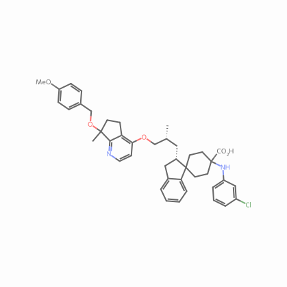 COc1ccc(COC2(C)CCc3c(OC[C@H](C)C[C@H]4Cc5ccccc5C45CCC(Nc4cccc(Cl)c4)(C(=O)O)CC5)ccnc32)cc1